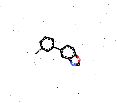 Cc1cccc(-c2ccc3ocnc3c2)c1